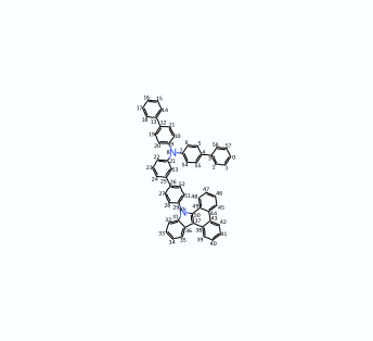 c1ccc(-c2ccc(N(c3ccc(-c4ccccc4)cc3)c3cccc(-c4ccc(-n5c6ccccc6c6c7ccccc7c7ccccc7c65)cc4)c3)cc2)cc1